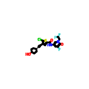 O=C(Nc1cc(F)c(=O)n(CC(F)F)c1)c1cc(C#C[C@H]2CC[C@H](O)CC2)c(Cl)s1